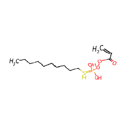 C=CC(=O)OOP(O)(O)=[SH]CCCCCCCCCC